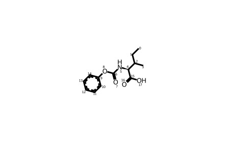 CCC(C)[C@H](NC(=O)Oc1ccccc1)C(=O)O